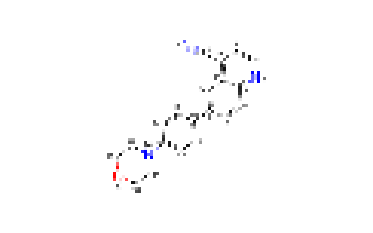 N#Cc1ccnc2ccc(-c3ccc(N4CCOCC4)cc3)cc12